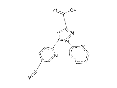 N#Cc1ccc(-c2cc(C(=O)O)nn2-c2ccccn2)nc1